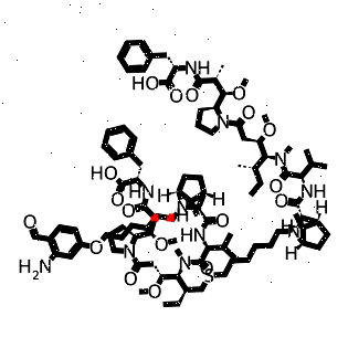 CC[C@H](CSCCCCCCN1[C@H](C(=O)N[C@H](C(=O)N(C)[C@@H]([C@@H](C)CC)[C@@H](CC(=O)N2CCC[C@H]2[C@H](OC)[C@@H](C)C(=O)N[C@@H](Cc2ccccc2)C(=O)O)OC)C(C)C)[C@H]2CC[C@H]1[C@H]2C)[C@@H]([C@@H](CC(=O)N1CCC[C@H]1[C@H](OC)[C@@H](C)C(=O)N[C@@H](Cc1ccccc1)C(=O)O)OC)N(C)C(=O)[C@@H](NC(=O)[C@@H]1[C@H]2CC[C@@H]([C@H]2C)N1CCCCCCOc1ccc(C=O)c(N)c1)C(C)C